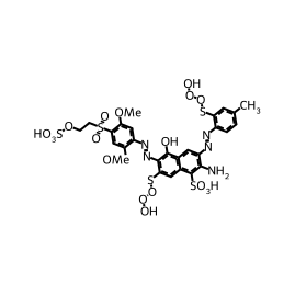 COc1cc(S(=O)(=O)CCOS(=O)(=O)O)c(OC)cc1N=Nc1c(SOOO)cc2c(S(=O)(=O)O)c(N)c(N=Nc3ccc(C)cc3SOOO)cc2c1O